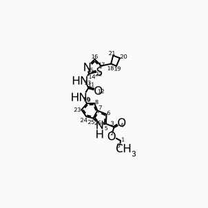 CCOC(=O)c1cc2cc(NC(=O)Nc3ncc(C4CCC4)s3)ccc2[nH]1